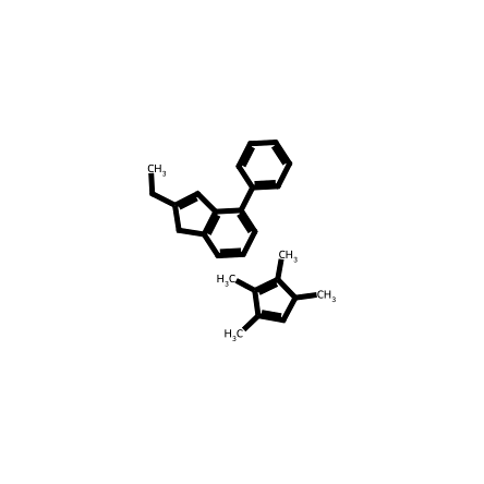 CC1=CC(C)C(C)=C1C.CCC1=Cc2c(cccc2-c2ccccc2)C1